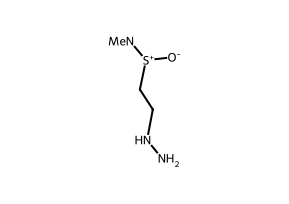 CN[S+]([O-])CCNN